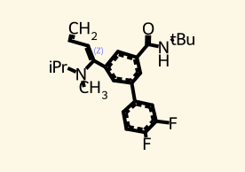 C=C/C=C(/c1cc(C(=O)NC(C)(C)C)cc(-c2ccc(F)c(F)c2)c1)N(C)C(C)C